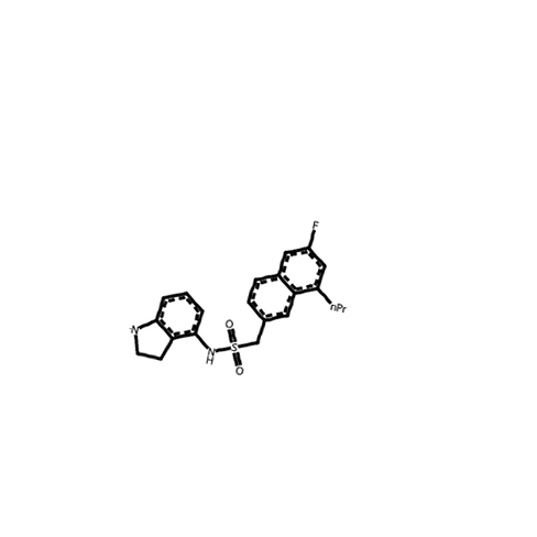 CCCc1cc(F)cc2ccc(CS(=O)(=O)Nc3cccc4c3CC[N]4)cc12